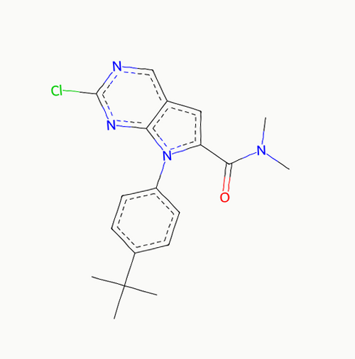 CN(C)C(=O)c1cc2cnc(Cl)nc2n1-c1ccc(C(C)(C)C)cc1